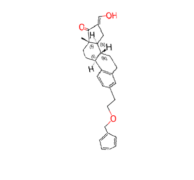 C[C@]12CC[C@@H]3c4ccc(CCOCc5ccccc5)cc4CC[C@H]3[C@@H]1CC(=CO)C2=O